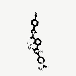 CC(=O)N1CCC(c2nc(C)c(-c3cccc(C(=O)N4CC(c5ccc(C#N)cc5)C4)c3C)[nH]2)CC1